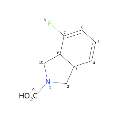 O=C(O)N1CC2C=CC=C(F)C2C1